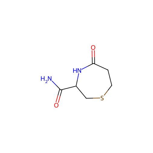 NC(=O)C1CSCCC(=O)N1